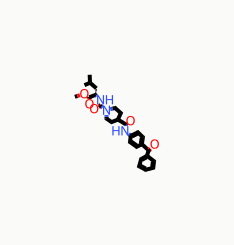 COC(=O)[C@H](CC(C)C)NC(=O)N1CCC(C(=O)Nc2ccc(C(=O)c3ccccc3)cc2)CC1